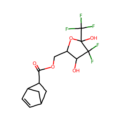 O=C(OCC1OC(O)(C(F)(F)F)C(F)(F)C1O)C1CC2C=CC1C2